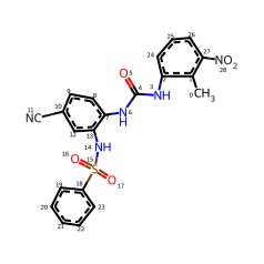 Cc1c(NC(=O)Nc2ccc(C#N)cc2NS(=O)(=O)c2ccccc2)cccc1[N+](=O)[O-]